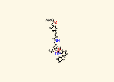 COC(=O)Cc1ccc(CCCCNCCCC(C)(C)OC(=O)Nc2ccccc2-c2ccccc2)cc1